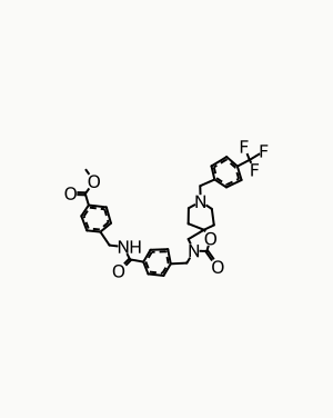 COC(=O)c1ccc(CNC(=O)c2ccc(CN3CC4(CCN(Cc5ccc(C(F)(F)F)cc5)CC4)OC3=O)cc2)cc1